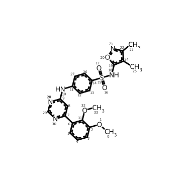 COc1cccc(-c2cc(Nc3ccc(S(=O)(=O)Nc4onc(C)c4C)cc3)ncn2)c1OC